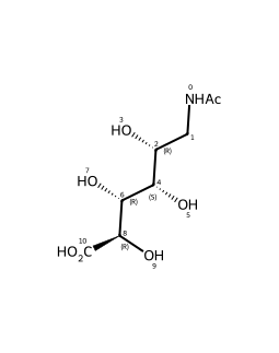 CC(=O)NC[C@@H](O)[C@H](O)[C@@H](O)[C@@H](O)C(=O)O